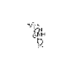 Cc1ccc2nc(NC(=O)c3ccc([19F])cc3)sc2c1